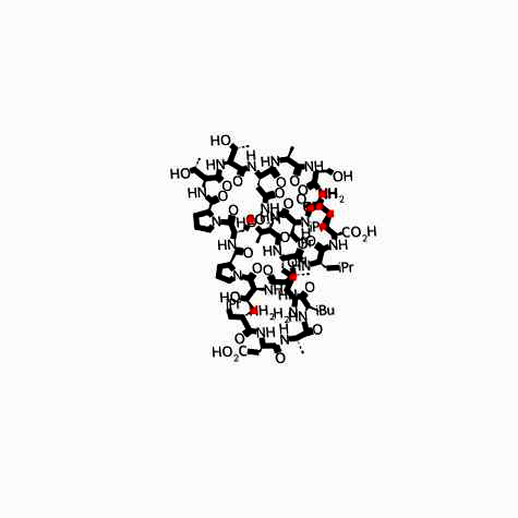 CC[C@H](C)[C@H](NC(=O)[C@H](C)NC(=O)[C@H](CC(=O)O)NC(=O)[C@@H](N)CC(C)C)C(=O)N[C@H](C(=O)N[C@H](C(=O)N1CCC[C@H]1C(=O)N[C@@H](CC(=O)O)C(=O)N1CCC[C@H]1C(=O)N[C@H](C(=O)N[C@H](C(=O)N[C@@H](CC(N)=O)C(=O)N[C@@H](C)C(=O)N[C@@H](CO)C(=O)N[C@@H](CC(C)C)C(=O)N[C@@H](CC(C)C)C(=O)N[C@H](C(=O)N[C@@H](CCCCN)C(=O)N[C@@H](CC(C)C)C(=O)N[C@@H](CCC(N)=O)C(=O)O)[C@@H](C)O)[C@@H](C)O)[C@@H](C)O)[C@@H](C)O)[C@@H](C)O